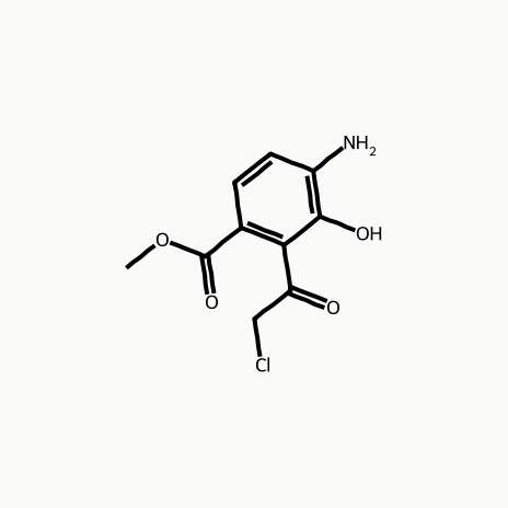 COC(=O)c1ccc(N)c(O)c1C(=O)CCl